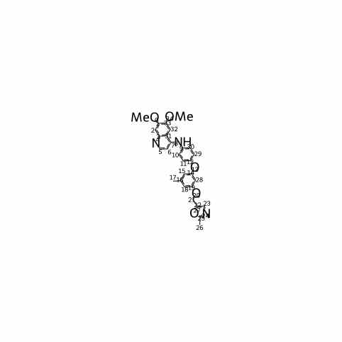 COc1cc2nccc(Nc3ccc(Oc4cc(C)cc(OCc5cnc(C)o5)c4)cc3)c2cc1OC